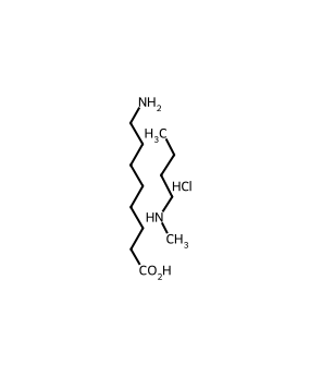 CCCCNC.Cl.NCCCCCCCC(=O)O